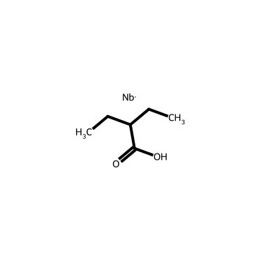 CCC(CC)C(=O)O.[Nb]